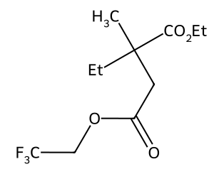 CCOC(=O)C(C)(CC)CC(=O)OCC(F)(F)F